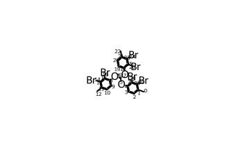 Cc1ccc(OC(Oc2ccc(C)c(Br)c2Br)Oc2ccc(C)c(Br)c2Br)c(Br)c1Br